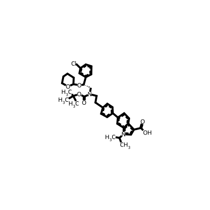 CC(C)n1cc(C(=O)O)c2ccc(-c3ccc(CCN(C[C@H](OC4CCCCO4)c4cccc(Cl)c4)C(=O)OC(C)(C)C)cc3)cc21